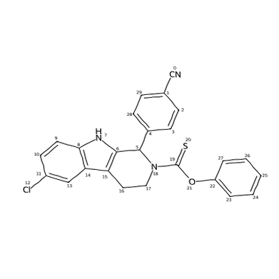 N#Cc1ccc(C2c3[nH]c4ccc(Cl)cc4c3CCN2C(=S)Oc2ccccc2)cc1